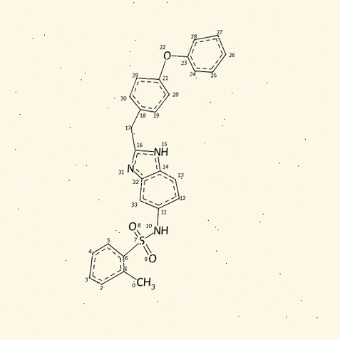 Cc1ccccc1S(=O)(=O)Nc1ccc2[nH]c(Cc3ccc(Oc4ccccc4)cc3)nc2c1